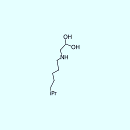 CC(C)CCCCCNCC(O)O